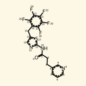 O=C(CCc1cccnc1)Nc1ncc(Cc2c(F)c(F)c(F)c(F)c2F)s1